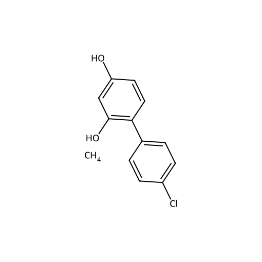 C.Oc1ccc(-c2ccc(Cl)cc2)c(O)c1